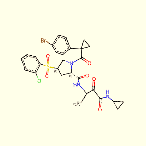 CCCC(NC(=O)[C@@H]1C[C@@H](S(=O)(=O)c2ccccc2Cl)CN1C(=O)C1(c2ccc(Br)cc2)CC1)C(=O)C(=O)NC1CC1